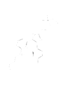 CC(=O)NCC1(C)COC(c2nc(-c3ccc(F)cc3)c(-c3ccnc(NCCCO)n3)[nH]2)OC1